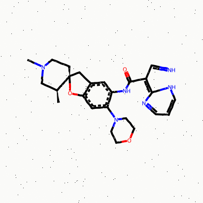 C[C@H]1CN(C)CC[C@]12Cc1cc(NC(=O)/C(C=N)=C3\N=CC=CN3)c(N3CCOCC3)cc1O2